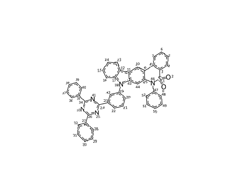 O=S1(=O)c2ccccc2-c2cc3c4ccccc4n(-c4cccc(-c5nc(-c6ccccc6)nc(-c6ccccc6)n5)c4)c3cc2N1c1ccccc1